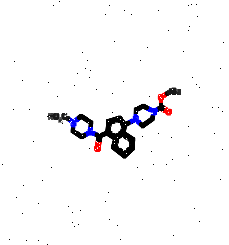 CC(C)(C)OC(=O)N1CCN(c2ccc(C(=O)N3CCN(C(=O)O)CC3)c3ccccc23)CC1